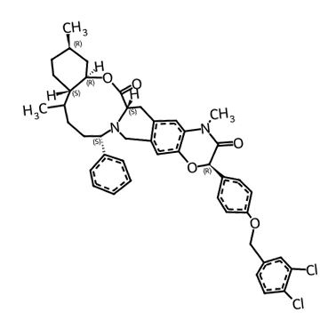 CC1CC[C@@H](c2ccccc2)N2Cc3cc4c(cc3C[C@H]2C(=O)O[C@@H]2C[C@H](C)CC[C@@H]12)N(C)C(=O)[C@@H](c1ccc(OCc2ccc(Cl)c(Cl)c2)cc1)O4